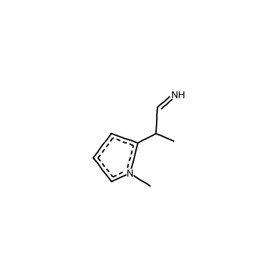 CC(C=N)c1cccn1C